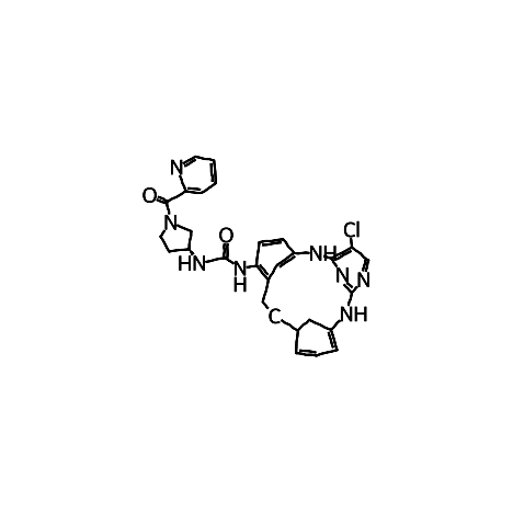 O=C(Nc1ccc2cc1CCC1C=CC=C(C1)Nc1ncc(Cl)c(n1)N2)N[C@H]1CCN(C(=O)c2ccccn2)C1